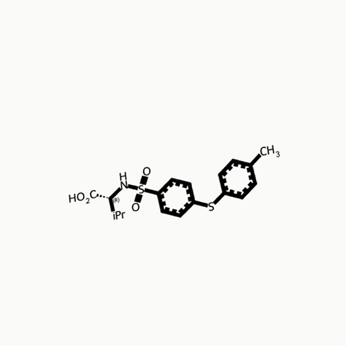 Cc1ccc(Sc2ccc(S(=O)(=O)N[C@@H](C(=O)O)C(C)C)cc2)cc1